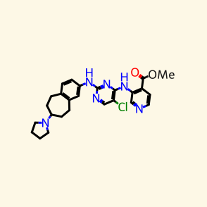 COC(=O)c1ccncc1Nc1nc(Nc2ccc3c(c2)CCC(N2CCCC2)CC3)ncc1Cl